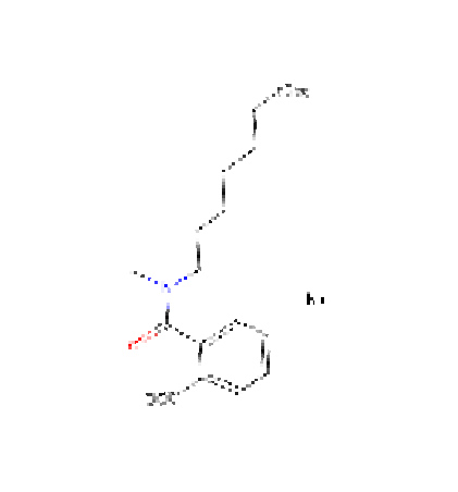 CCCCCCCCCCCCCCCCN(C)C(=O)c1ccccc1C(=O)[O-].[Na+]